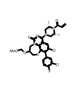 C=CC(=O)N1[C@H](C)CN(c2nc(=O)n3c4c(c(-c5ccc(F)c(Cl)c5)c(Cl)cc24)SCC(OCOC)C3)C[C@@H]1C